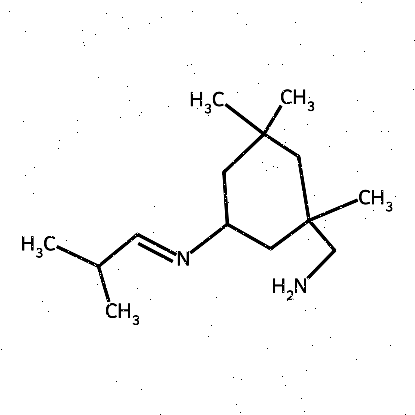 CC(C)C=NC1CC(C)(C)CC(C)(CN)C1